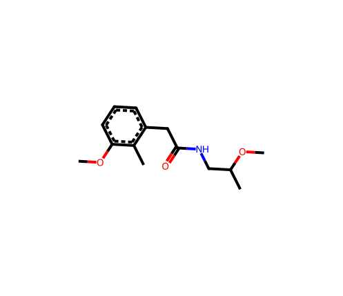 COc1cccc(CC(=O)NCC(C)OC)c1C